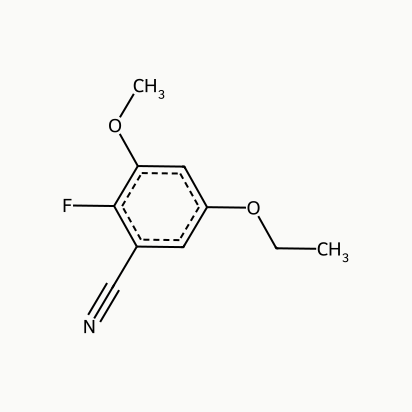 CCOc1cc(C#N)c(F)c(OC)c1